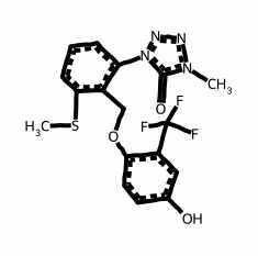 CSc1cccc(-n2nnn(C)c2=O)c1COc1ccc(O)cc1C(F)(F)F